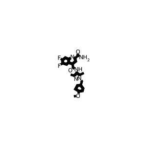 COc1ccc(Cn2nc(C)c(NC(=O)c3cc(C(N)=O)nc4cc(F)c(F)cc34)c2C)cc1